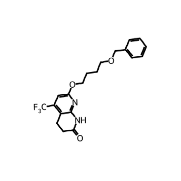 O=C1CCc2c(C(F)(F)F)cc(OCCCCOCc3ccccc3)nc2N1